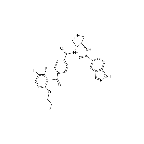 CCCOc1ccc(F)c(F)c1C(=O)c1ccc(C(=O)N[C@@H]2CNC[C@H]2NC(=O)c2ccc3[nH]ncc3c2)cc1